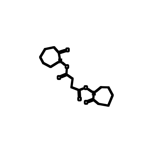 O=C(CCC(=O)ON1CCCCCC1=O)ON1CCCCCC1=O